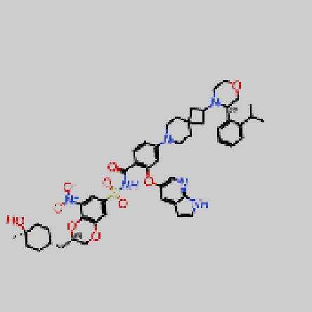 CC(C)c1ccccc1[C@@H]1COCCN1C1CC2(CCN(c3ccc(C(=O)NS(=O)(=O)c4cc5c(c([N+](=O)[O-])c4)O[C@H](C[C@H]4CC[C@](C)(O)CC4)CO5)c(Oc4cnc5[nH]ccc5c4)c3)CC2)C1